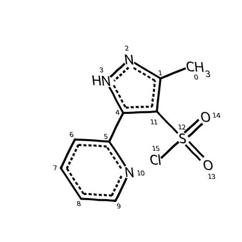 Cc1n[nH]c(-c2ccccn2)c1S(=O)(=O)Cl